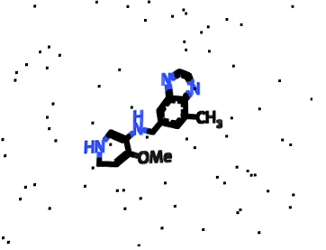 COC1=CCNC=C1NCc1cc(C)c2nccnc2c1